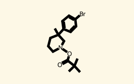 CC(C)(C)C(=O)ON1CCCC(C)(c2ccc(Br)cc2)C1